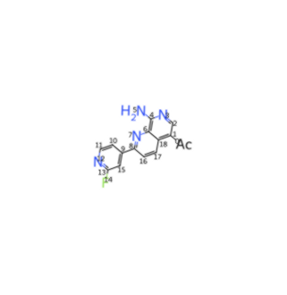 CC(=O)c1cnc(N)c2nc(-c3ccnc(F)c3)ccc12